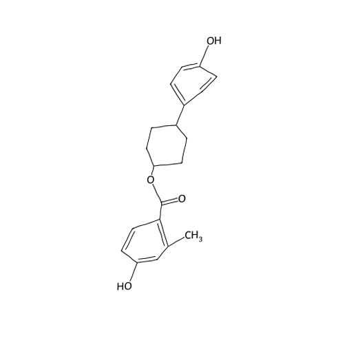 Cc1cc(O)ccc1C(=O)OC1CCC(c2ccc(O)cc2)CC1